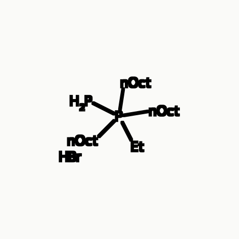 Br.CCCCCCCCP(P)(CC)(CCCCCCCC)CCCCCCCC